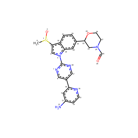 C[S+]([O-])c1cn(-c2ncc(-c3cc(N)ccn3)cn2)c2cc(C3CN(C=O)CCO3)ccc12